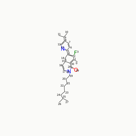 Cc1c(F)c(-c2ccc(C(C)C)cn2)cc2ccn(CCCCCCC(C)C)c(=O)c12